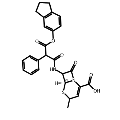 CC1C=C(C(=O)O)N2C(=O)C(NC(=O)C(C(=O)Oc3ccc4c(c3)CCC4)c3ccccc3)[C@@H]2S1